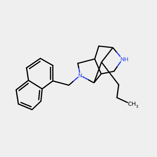 CCCC1C2CC3CN(Cc4cccc5ccccc45)C1C3CN2